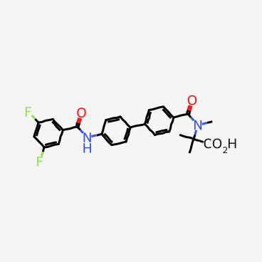 CN(C(=O)c1ccc(-c2ccc(NC(=O)c3cc(F)cc(F)c3)cc2)cc1)C(C)(C)C(=O)O